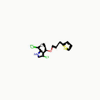 Clc1ccc(OC[CH]Cc2cccs2)c2c(Cl)c[nH]c12